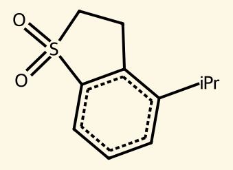 CC(C)c1cccc2c1CCS2(=O)=O